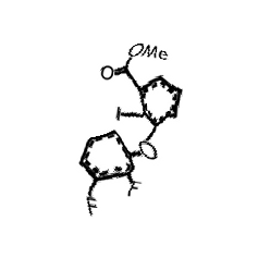 COC(=O)c1cccc(Oc2cccc(F)c2F)c1I